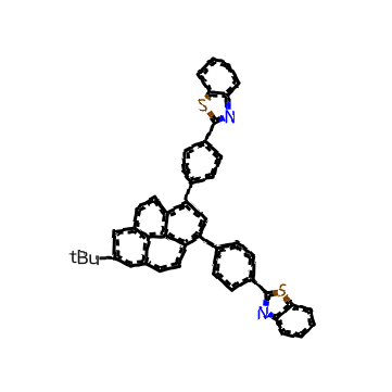 CC(C)(C)c1cc2ccc3c(-c4ccc(-c5nc6ccccc6s5)cc4)cc(-c4ccc(-c5nc6ccccc6s5)cc4)c4ccc(c1)c2c34